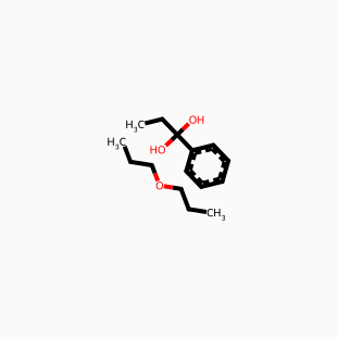 CCC(O)(O)c1ccccc1.CCCOCCC